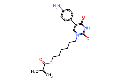 C=C(C)C(=O)OCCCCCCn1cc(-c2ccc(N)cc2)c(=O)[nH]c1=O